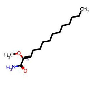 CCCCCCCCCCC/C=C(\OC)C(N)=O